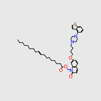 CCCCCCCCC=CCCCCCCCC(=O)OCn1c(=O)ccc2ccc(OCCCCN3CCN(c4cccc5sccc45)CC3)cc21